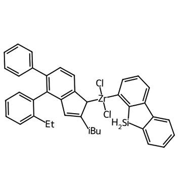 CCc1ccccc1-c1c(-c2ccccc2)ccc2c1C=C(C(C)CC)[CH]2[Zr]([Cl])([Cl])[c]1cccc2c1[SiH2]c1ccccc1-2